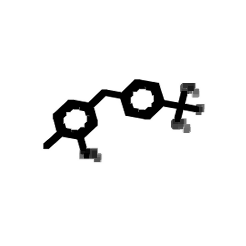 Cc1ccc(Cc2ccc(C(F)(C(F)(F)F)C(F)(F)F)cc2)cc1N